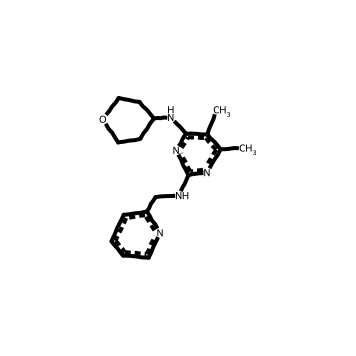 Cc1nc(NCc2ccccn2)nc(NC2CCOCC2)c1C